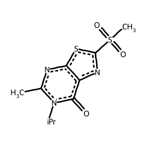 Cc1nc2sc(S(C)(=O)=O)nc2c(=O)n1C(C)C